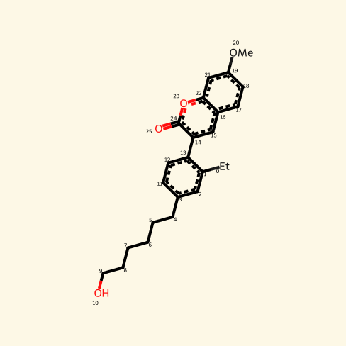 CCc1cc(CCCCCCO)ccc1-c1cc2ccc(OC)cc2oc1=O